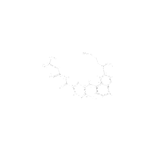 COCCN(C)c1ncc2ncnc(Nc3cc(C(=O)NC(=N)/C=C(\O)C(C)(C)C)ccc3Cl)c2n1